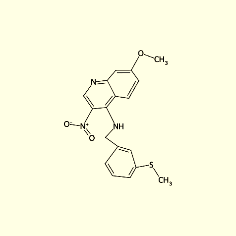 COc1ccc2c(NCc3cccc(SC)c3)c([N+](=O)[O-])cnc2c1